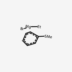 CSc1cc[c]cc1.C[CH2][Mg][Br]